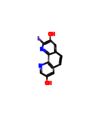 Oc1cnc2c(ccc3cc(O)c(I)nc32)c1